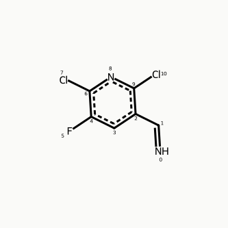 N=Cc1cc(F)c(Cl)nc1Cl